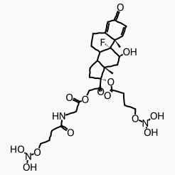 C[C@]12C=CC(=O)C=C1CCC1C3CC[C@](OC(=O)CCCON(O)O)(C(=O)COC(=O)CNC(=O)CCCON(O)O)[C@@]3(C)C[C@H](O)[C@@]12F